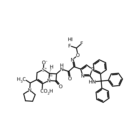 CC(C1=C(C(=O)O)N2C(=O)C(NC(=O)C(=NOC(F)F)c3csc(NC(c4ccccc4)(c4ccccc4)c4ccccc4)n3)[C@@H]2[S+]([O-])C1)N1CCCC1.I